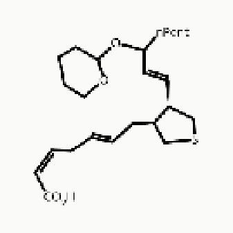 CCCCCC(/C=C/[C@H]1CSC[C@H]1CC=CC/C=C\C(=O)O)OC1CCCCO1